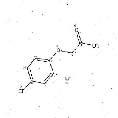 O=C([O-])COc1ccc(Cl)cc1.[Li+]